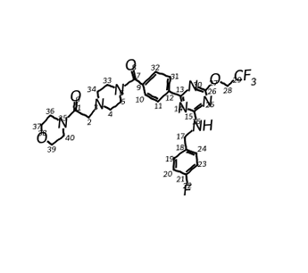 O=C(CN1CCN(C(=O)c2ccc(-c3nc(NCc4ccc(F)cc4)nc(OCC(F)(F)F)n3)cc2)CC1)N1CCOCC1